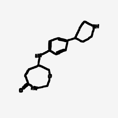 O=C1CCC(Nc2ccc(C3CCNCC3)cc2)COCN1